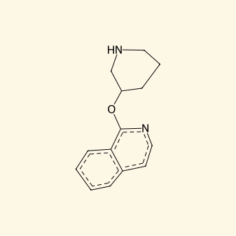 c1ccc2c(OC3CCCNC3)nccc2c1